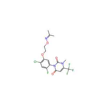 CC(C)=NOCCOc1cc(-n2c(=O)cc(C(F)(F)F)n(C)c2=O)c(F)cc1Cl